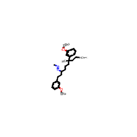 CCCCCCCCCCCCC(C#N)(CCCC(CCc1cccc(OC(C)(C)C)c1)N=NC)c1cccc(OC(C)(C)C)c1